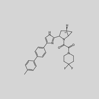 Cc1ccc(-c2ccc(-c3c[nH]c(C4C[C@@H]5CC5N4C(=O)C(=O)N4CCC(F)(F)CC4)n3)cc2)cc1